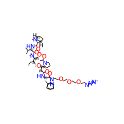 CC[C@H](C)[C@@H]([C@@H](CC(=O)N1CCC[C@H]1[C@H](OC)[C@@H](C)C(=O)N[C@@H](Cc1ccccc1)C(=O)NCCOCCOCCOCCN=[N+]=[N-])OC)N(C)C(=O)[C@@H](NC(=O)C1[C@H]2CC[C@H](C2)N1C)C(C)C